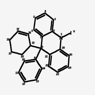 IN1c2ccccc2C(c2ccccc2)(C2C=CCCC2)c2ccccc21